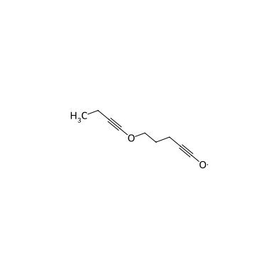 CCC#COCCCC#C[O]